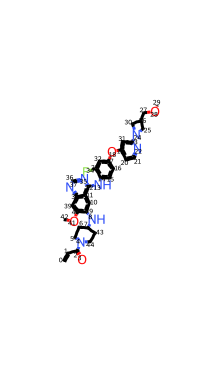 C=CC(=O)N1CCC(Nc2cc3c(Nc4ccc(Oc5ccnc(N6CC(COC)C6)c5)cc4F)ncnc3cc2OC)CC1